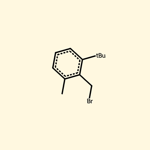 Cc1cccc(C(C)(C)C)c1CBr